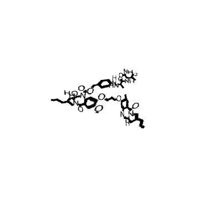 C/C=C/C1=CN2C(=O)c3cc(C)c(OCCCOc4cc5c(cc4OC)C(=O)N4C=C(/C=C/C)C[C@H]4[C@H](O)N5C(=O)OCc4ccc(NNC(C)C(=O)N[C@H](C(N)=O)C(C)C)cc4)cc3N=C[C@@H]2C1